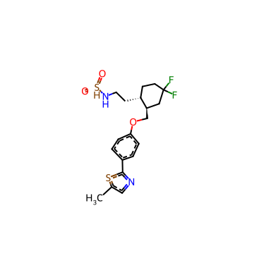 Cc1cnc(-c2ccc(OC[C@@H]3CC(F)(F)CC[C@H]3CCN[SH](=O)=O)cc2)s1